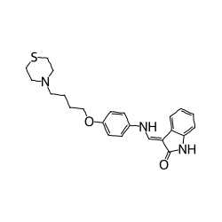 O=C1Nc2ccccc2/C1=C\Nc1ccc(OCCCCN2CCSCC2)cc1